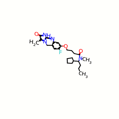 C=c1c(=O)[nH]c2n1Cc1cc(F)c(OCCCC(=O)N(C)C(CCC)C3CCCC3)cc1N=2